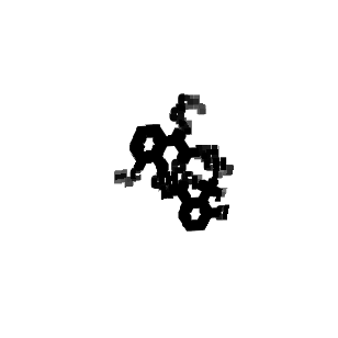 CNC(=O)/C(=N/OC)c1cccc(C)c1CO/N=C(\C)c1cccc(Cl)c1C(F)(F)F